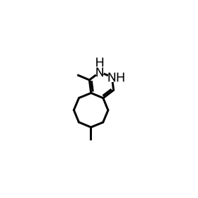 CC1=C2CCCC(C)CCC2=CNN1